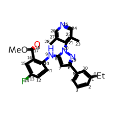 CCc1cccc(-c2cc(Nc3ccc(F)cc3C(=O)OC)n(-c3c(C)cncc3C)n2)c1